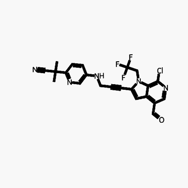 CC(C)(C#N)c1ccc(NCC#Cc2cc3c(C=O)cnc(Cl)c3n2CC(F)(F)F)cn1